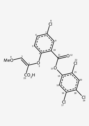 COC=C(Oc1ccc(Cl)cc1C(=O)Oc1cc(Cl)c(Cl)cc1Cl)C(=O)O